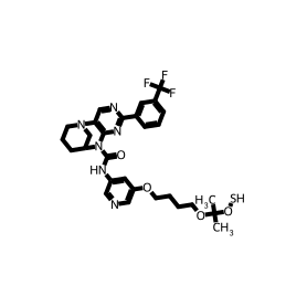 CC(C)(OS)OCCCCOc1cncc(NC(=O)N2c3nc(-c4cccc(C(F)(F)F)c4)ncc3N3CCCC2C3)c1